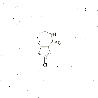 O=C1NCCCc2sc(Cl)cc21